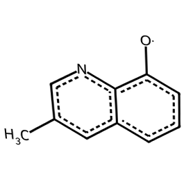 Cc1cnc2c([O])cccc2c1